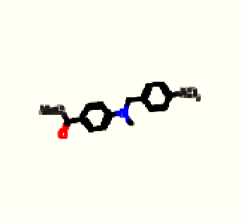 COC(=O)c1ccc(N(C)Cc2ccc([N+](=O)[O-])cc2)cc1